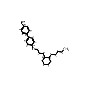 CCCCCC1CCCCC1CCCOc1ccc(-c2ccc(F)cc2)cc1